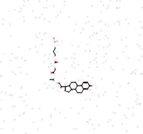 CC(OCC(=O)[C@@]1(O)[C@H](O)C[C@H]2[C@@H]3CCC4=CC(=O)C=C[C@]4(C)[C@@]3(F)[C@@H](O)C[C@@]21C)OC(=O)CNC(=O)OCCCON(O)O